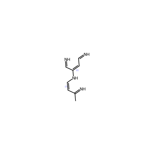 CC(=N)/C=C\N/C(C=N)=C/C=N